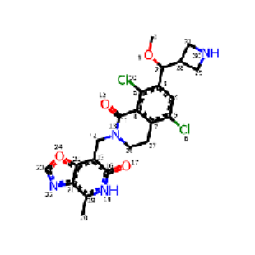 COC(c1cc(Cl)c2c(c1Cl)C(=O)N(Cc1c(=O)[nH]c(C)c3ncoc13)CC2)C1CNC1